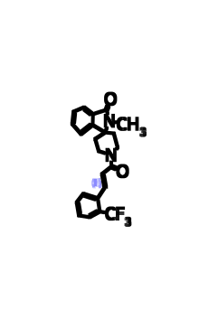 CN1C(=O)c2ccccc2C12CCN(C(=O)/C=C/c1ccccc1C(F)(F)F)CC2